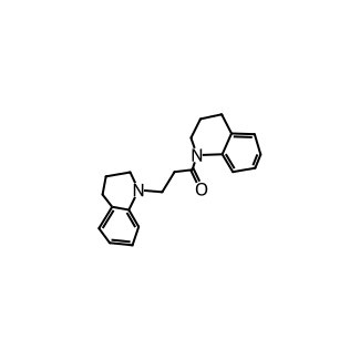 O=C(CCN1CCCc2ccccc21)N1CCCc2ccccc21